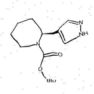 CC(C)(C)OC(=O)N1CCCC[C@H]1c1cn[nH]c1